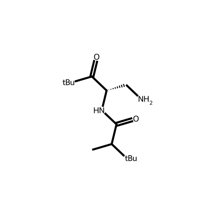 CC(C(=O)N[C@@H](CN)C(=O)C(C)(C)C)C(C)(C)C